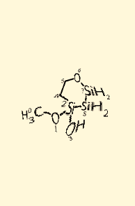 CO[Si]1(O)CCO[SiH2][SiH2]1